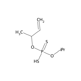 C=CC(C)OP(=S)(S)OC(C)C